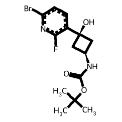 CC(C)(C)OC(=O)N[C@H]1C[C@](O)(c2ccc(Br)nc2F)C1